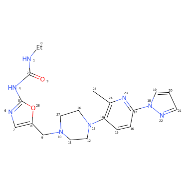 CCNC(=O)Nc1ncc(CN2CCN(c3ccc(-n4cccn4)nc3C)CC2)o1